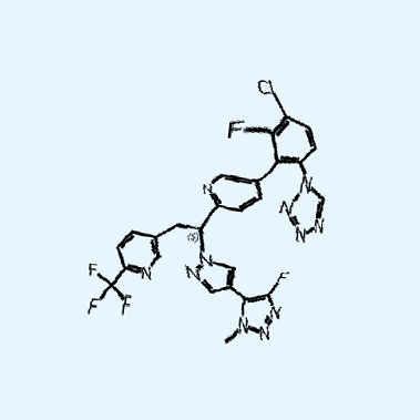 Cn1nnc(F)c1-c1cnn([C@@H](Cc2ccc(C(F)(F)F)nc2)c2ccc(-c3c(-n4cnnn4)ccc(Cl)c3F)cn2)c1